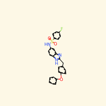 O=S(=O)(Nc1ccc2[nH]c(Cc3ccc(Oc4ccccc4)cc3)nc2c1)c1ccc(F)cc1